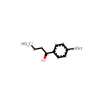 CCCCCCCCc1ccc(C(=O)CCC(=O)O)cc1